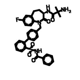 CC(C)(N)C(=O)N[C@@H]1CCc2cc(F)ccc2N(Cc2ccc(-c3ccccc3S(=O)(=O)NC(=O)c3ccccc3)cc2)C1=O